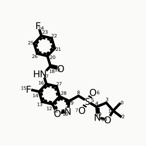 CC1(C)CC(S(=O)(=O)Cc2noc3cc(F)c(NC(=O)c4ccc(F)cc4)cc23)=NO1